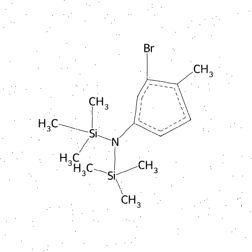 Cc1ccc(N([Si](C)(C)C)[Si](C)(C)C)cc1Br